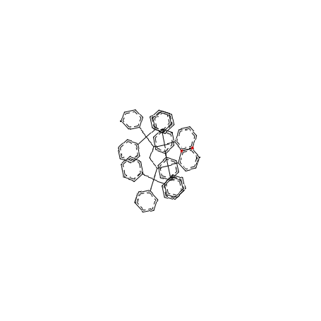 c1ccc(C(c2ccccc2)(c2ccccc2)C(CC(C(c2ccccc2)(c2ccccc2)c2ccccc2)C(c2ccccc2)(c2ccccc2)c2ccccc2)C(c2ccccc2)(c2ccccc2)c2ccccc2)cc1